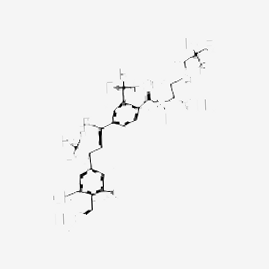 C=Cc1c(Cl)cc([C@@H](/C=C(\F)c2ccc(C(=O)N[C@H](C)CSCC(F)(F)F)c(C(F)(F)F)c2)C(F)(F)F)cc1Cl